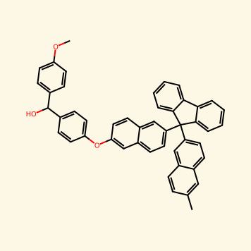 COc1ccc(C(O)c2ccc(Oc3ccc4cc(C5(c6ccc7cc(C)ccc7c6)c6ccccc6-c6ccccc65)ccc4c3)cc2)cc1